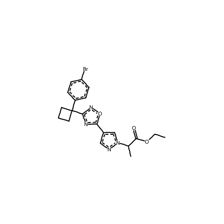 CCOC(=O)C(C)n1cc(-c2nc(C3(c4ccc(Br)cc4)CCC3)no2)cn1